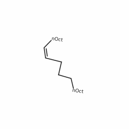 [CH2]C[CH]CCCCCCCC/C=C\CCCCCCCC